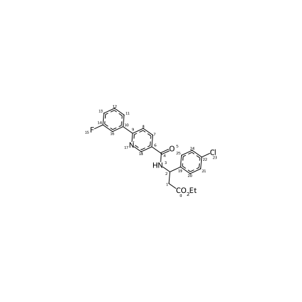 CCOC(=O)CC(NC(=O)c1ccc(-c2cccc(F)c2)nc1)c1ccc(Cl)cc1